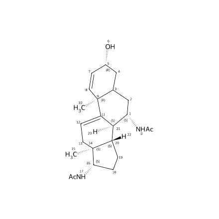 CC(=O)N[C@H]1CC2C[C@@H](O)C=C[C@]2(C)C2=CC[C@]3(C)[C@@H](NC(C)=O)CC[C@H]3[C@@H]21